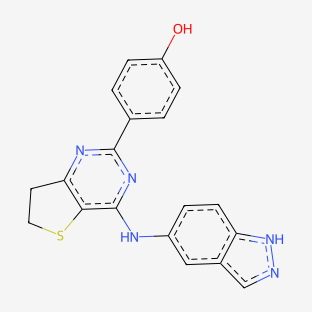 Oc1ccc(-c2nc3c(c(Nc4ccc5[nH]ncc5c4)n2)SCC3)cc1